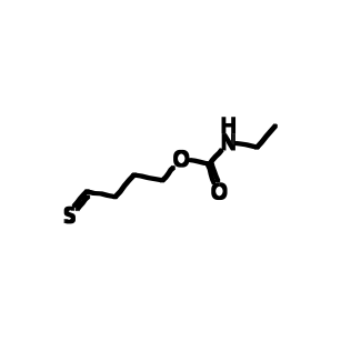 CCNC(=O)OCCCC=S